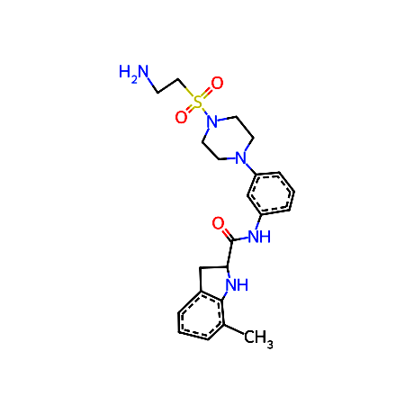 Cc1cccc2c1NC(C(=O)Nc1cccc(N3CCN(S(=O)(=O)CCN)CC3)c1)C2